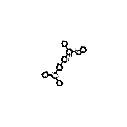 c1ccc(-c2cc(-c3ccc(-c4ccc(-c5nc(-c6ccccc6)cc(-c6ccccc6)n5)cc4)cn3)nc(-c3ccc4ccccc4n3)c2)cc1